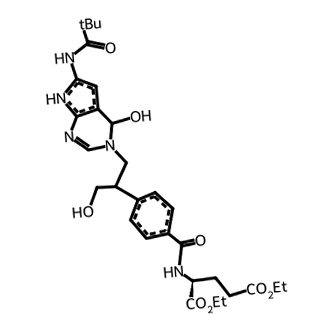 CCOC(=O)CC[C@H](NC(=O)c1ccc(C(CO)CN2C=Nc3[nH]c(NC(=O)C(C)(C)C)cc3C2O)cc1)C(=O)OCC